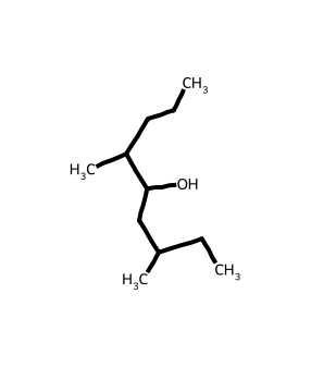 CCCC(C)C(O)CC(C)CC